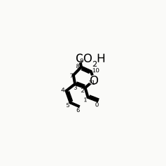 C=CC1=C(/C=C\C)CC(C(=O)O)=CO1